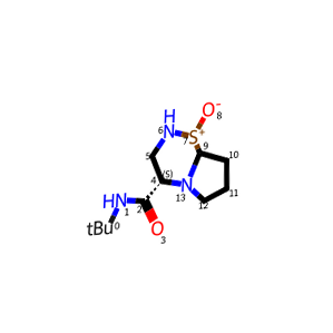 CC(C)(C)NC(=O)[C@@H]1CN[S+]([O-])C2CCCN21